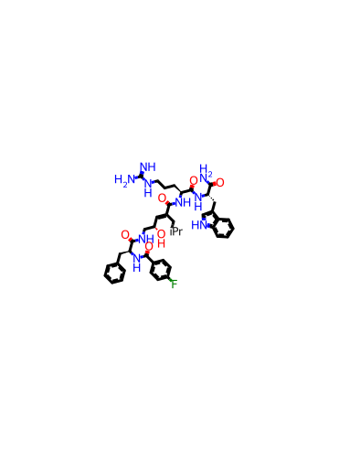 CC(C)C/C(=C\[C@H](O)CNC(=O)[C@H](Cc1ccccc1)NC(=O)c1ccc(F)cc1)C(=O)N[C@@H](CCCNC(=N)N)C(=O)N[C@@H](Cc1c[nH]c2ccccc12)C(N)=O